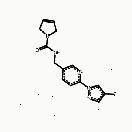 O=C(NCc1ccc(-n2cc(F)cn2)nc1)N1CC=CC1